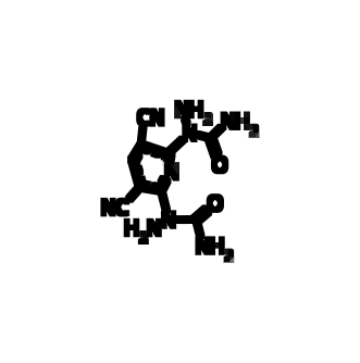 N#Cc1cc(C#N)c(N(N)C(N)=O)nc1N(N)C(N)=O